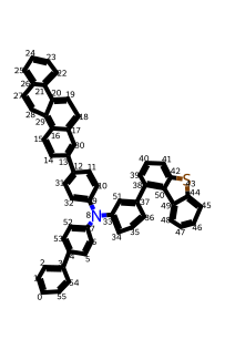 c1ccc(-c2ccc(N(c3ccc(-c4ccc5c(ccc6c7ccccc7ccc56)c4)cc3)c3cccc(-c4cccc5sc6ccccc6c45)c3)cc2)cc1